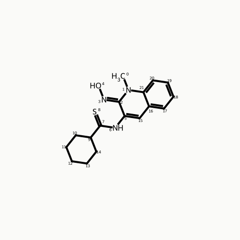 Cn1c(=NO)c(NC(=S)C2CCCCC2)cc2ccccc21